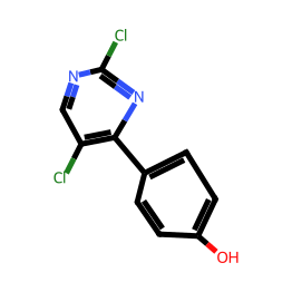 Oc1ccc(-c2nc(Cl)ncc2Cl)cc1